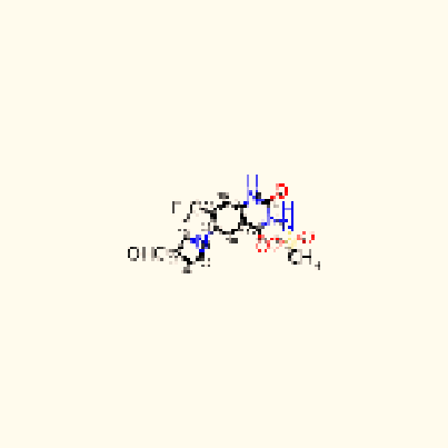 CS(=O)(=O)Nn1c(=O)[nH]c2cc(C(F)(F)F)c(-n3ccc(C=O)c3)cc2c1=O